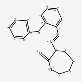 O=C1NCCCCC1N=Cc1ccccc1Cc1ccccc1